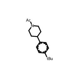 CC(=O)N1CCC(c2ccc(C(C)(C)C)cc2)CC1